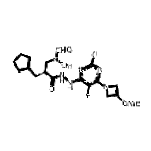 COC1CN(c2nc(Cl)nc(NNC(=O)[C@@H](CC3CCCC3)CN(O)C=O)c2F)C1